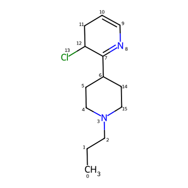 CCCN1CCC(C2=NC=CCC2Cl)CC1